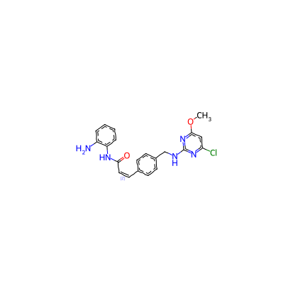 COc1cc(Cl)nc(NCc2ccc(/C=C\C(=O)Nc3ccccc3N)cc2)n1